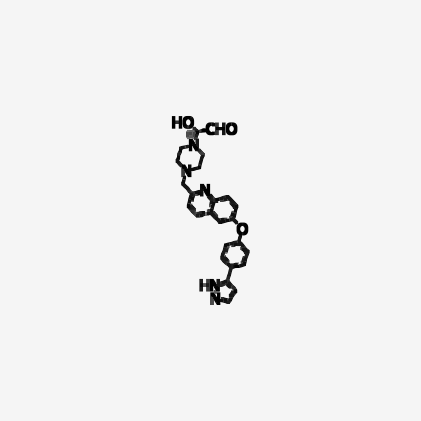 O=C[C@H](O)N1CCN(Cc2ccc3cc(Oc4ccc(-c5ccn[nH]5)cc4)ccc3n2)CC1